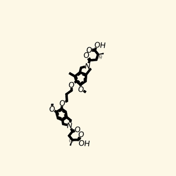 COc1cc2c(cc1OCCCOc1c(OC)cc3c(c1C)CN(C(=O)C[C@H](C)C(=O)O)C3)CN(C(=O)C[C@H](C)C(=O)O)C2